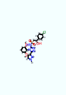 COc1cccc(OC)c1-n1c(NS(=O)(=O)C[C@@H](O)c2ccc(Cl)cc2)nnc1-c1ccn(C)n1